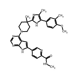 CNC(=O)c1ccc(-c2cc3c(N4CCC(C)(c5nc(C)c(-c6ccc(OC)c(C)c6)[nH]5)CC4)ncnc3[nH]2)cn1